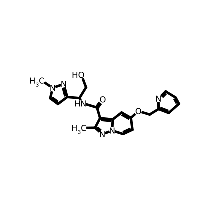 Cc1nn2ccc(OCc3ccccn3)cc2c1C(=O)NC(CO)c1ccn(C)n1